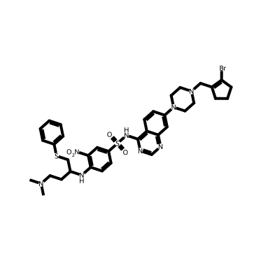 CN(C)CCC(CSc1ccccc1)Nc1ccc(S(=O)(=O)Nc2ncnc3cc(N4CCN(CC5=C(Br)CCC5)CC4)ccc23)cc1[N+](=O)[O-]